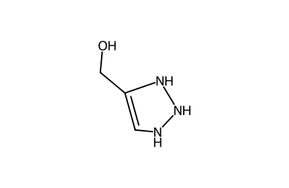 OCC1=CNNN1